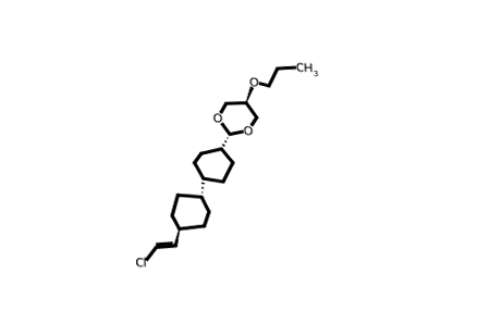 CCCO[C@H]1CO[C@H](C2CCC([C@H]3CC[C@H](/C=C/Cl)CC3)CC2)OC1